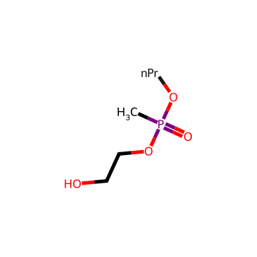 CCCOP(C)(=O)OCCO